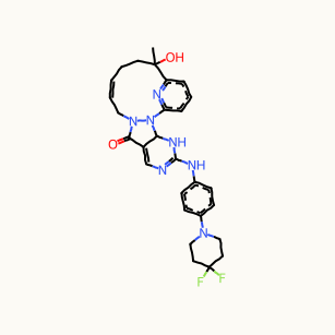 CC1(O)CC/C=C\CN2C(=O)C3=CN=C(Nc4ccc(N5CCC(F)(F)CC5)cc4)NC3N2c2cccc1n2